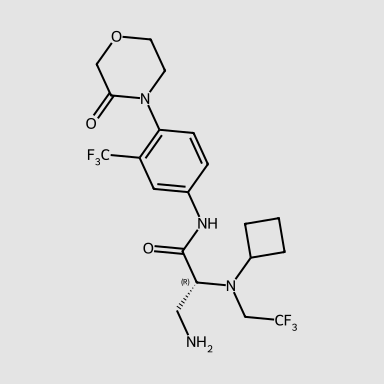 NC[C@H](C(=O)Nc1ccc(N2CCOCC2=O)c(C(F)(F)F)c1)N(CC(F)(F)F)C1CCC1